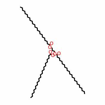 CCCCCCCCCCCCCCCCCCCCCCCC(=O)OCC(COC(=O)CCCCCCCCCCCCCCCCCCCCCCC)OC(=O)CCCCCCCCCCCCCCCCCCCCCCC